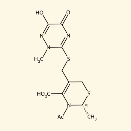 CC(=O)N1C(C(=O)O)=C(CSc2nc(=O)c(O)nn2C)CS[C@@H]1C